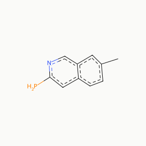 Cc1ccc2cc(P)ncc2c1